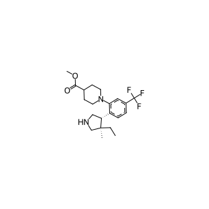 CC[C@@]1(C)CNC[C@@H]1c1ccc(C(F)(F)F)cc1N1CCC(C(=O)OC)CC1